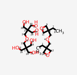 CCC1(COCC2(CC)COC2)COC1.OCC(CO)(CO)COCC(CO)(CO)CO